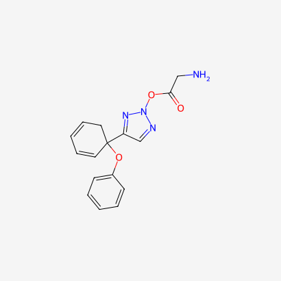 NCC(=O)On1ncc(C2(Oc3ccccc3)C=CC=CC2)n1